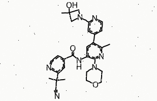 Cc1nc(N2CCOCC2)c(NC(=O)c2ccnc(C(C)(C)C#N)c2)cc1-c1ccnc(N2CC(C)(O)C2)c1